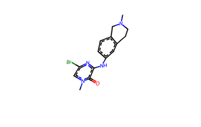 CN1CCc2cc(Nc3nc(Br)cn(C)c3=O)ccc2C1